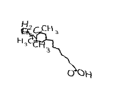 C=CCN1C(C)(C)CC(CCCCCCCC(=O)O)CC1(C)C